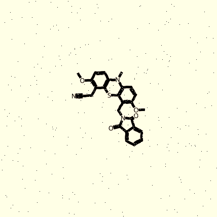 COc1ccc2c(c1CC#N)Sc1c(ccc(OC)c1CN1C(=O)c3ccccc3C1=O)N2C